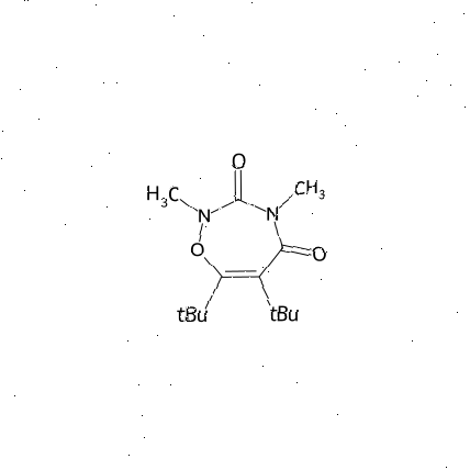 CN1OC(C(C)(C)C)=C(C(C)(C)C)C(=O)N(C)C1=O